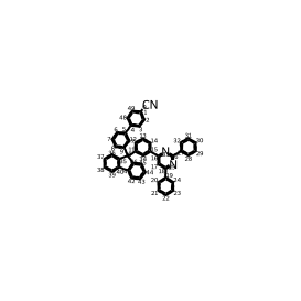 N#Cc1ccc(-c2cccc(C3(c4cccc(-c5cc(-c6ccccc6)nc(-c6ccccc6)n5)c4)c4ccccc4-c4ccccc43)c2)cc1